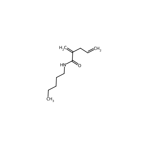 C=CCC(=C)C(=O)NCCCCC